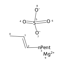 CC=CCCCCC.O=S(=O)([O-])[O-].[Mg+2]